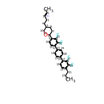 C/C=C/CCC1CCC(c2ccc(-c3ccc(-c4ccc(CCC)c(F)c4F)cc3)c(F)c2F)OC1